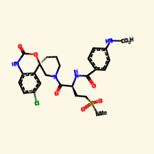 CNS(=O)(=O)CC[C@H](NC(=O)c1ccc(NC(=O)O)cc1)C(=O)N1CCC[C@@]2(C1)OC(=O)Nc1ccc(Cl)cc12